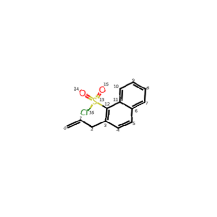 C=CCc1ccc2ccccc2c1S(=O)(=O)Cl